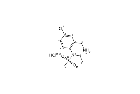 CCN(c1ncc(Cl)cc1CN)S(C)(=O)=O.Cl